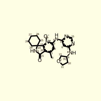 Cc1cc(Nc2cc(N[C@H]3CCOC3)ncn2)[n+]([O-])c2c1C(=O)NC21CCCCC1